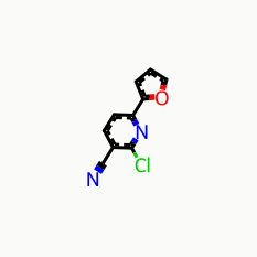 N#Cc1ccc(-c2ccco2)nc1Cl